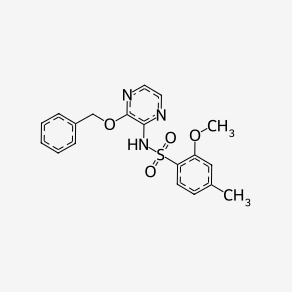 COc1cc(C)ccc1S(=O)(=O)Nc1nccnc1OCc1ccccc1